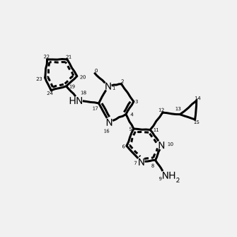 CN1CC=C(c2cnc(N)nc2CC2CC2)N=C1Nc1ccccc1